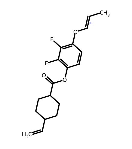 C=CC1CCC(C(=O)Oc2ccc(O/C=C/C)c(F)c2F)CC1